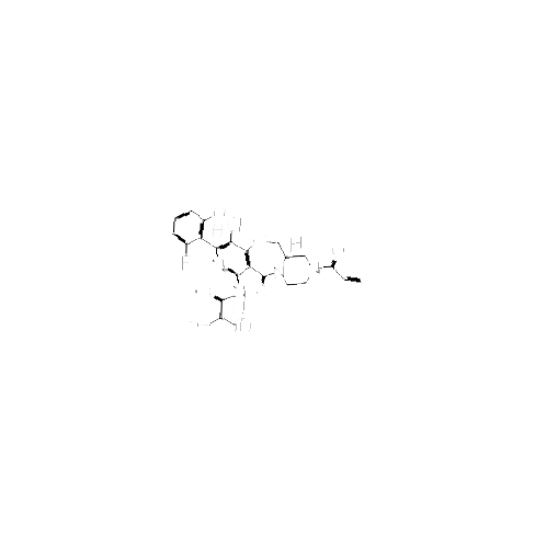 C=CC(=O)N1CCN2C(=O)c3c(NC(=O)C(C(C)C)C(C)C)nc(-c4c(O)cccc4F)c(Cl)c3OC[C@H]2C1